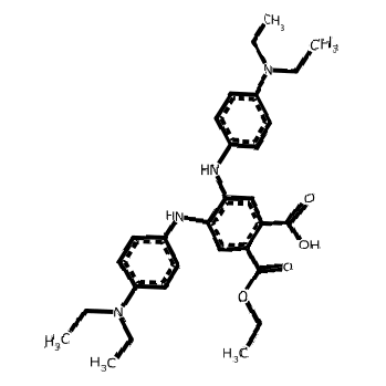 CCOC(=O)c1cc(Nc2ccc(N(CC)CC)cc2)c(Nc2ccc(N(CC)CC)cc2)cc1C(=O)O